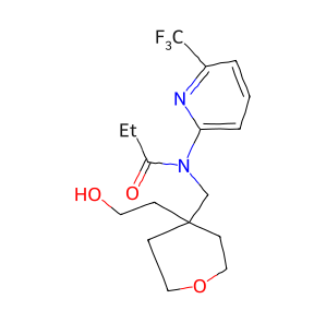 CCC(=O)N(CC1(CCO)CCOCC1)c1cccc(C(F)(F)F)n1